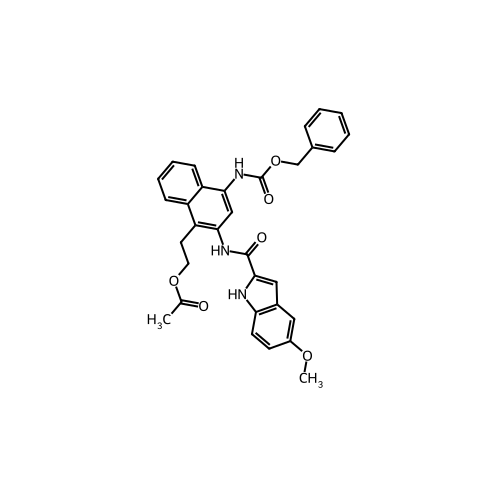 COc1ccc2[nH]c(C(=O)Nc3cc(NC(=O)OCc4ccccc4)c4ccccc4c3CCOC(C)=O)cc2c1